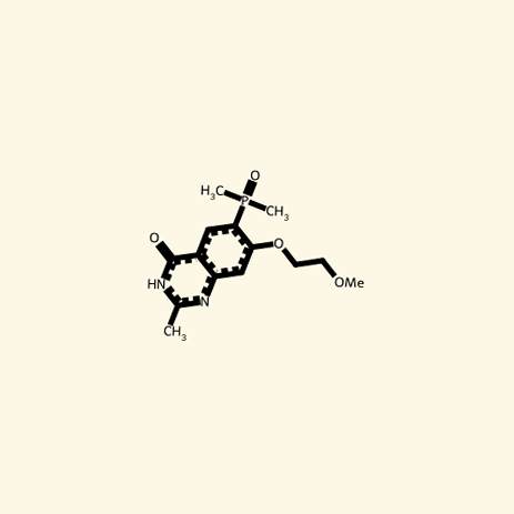 COCCOc1cc2nc(C)[nH]c(=O)c2cc1P(C)(C)=O